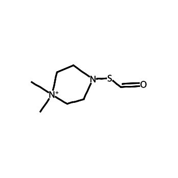 C[N+]1(C)CCN(SC=O)CC1